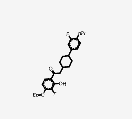 CCCc1ccc(C2CCC(CC(=O)c3ccc(OCC)c(F)c3O)CC2)cc1F